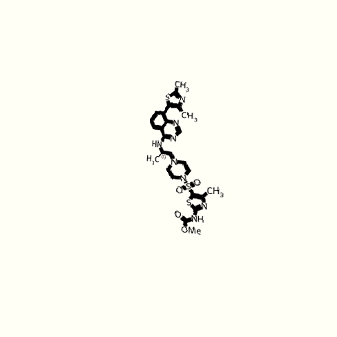 COC(=O)Nc1nc(C)c(S(=O)(=O)N2CCN(C[C@H](C)Nc3ncnc4c(-c5sc(C)nc5C)cccc34)CC2)s1